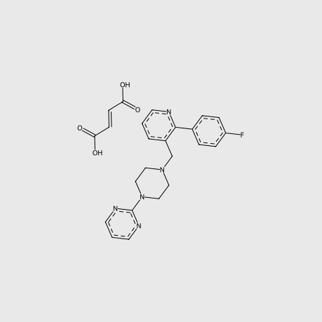 Fc1ccc(-c2ncccc2CN2CCN(c3ncccn3)CC2)cc1.O=C(O)C=CC(=O)O